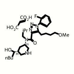 CCCCC(O)[C@H]1CNC[C@@H](N(CC(C)C)C(=O)c2nnn(-c3ccccc3F)c2CCCCOC)C1.O=C(O)C=CC(=O)O